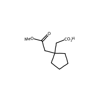 COC(=O)CC1(CC(=O)O)CCCC1